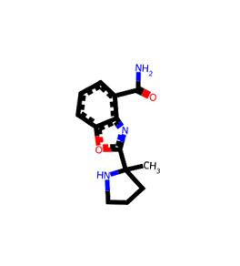 CC1(c2nc3c(C(N)=O)cccc3o2)CCCN1